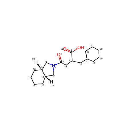 O=C(O)C(CC(=O)N1C[C@H]2CCCC[C@H]2C1)CC1CCCCC1